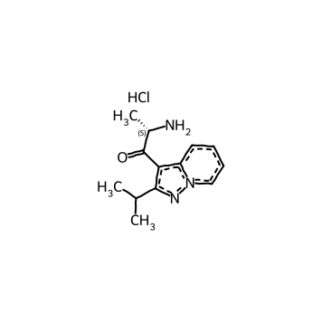 CC(C)c1nn2ccccc2c1C(=O)[C@H](C)N.Cl